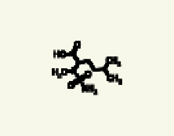 CC(C)CCC(C(=O)O)N(C)S(N)(=O)=O